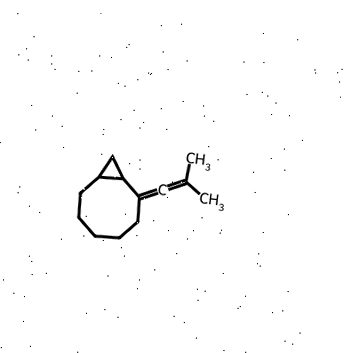 CC(C)=C=C1CCCCCC2CC12